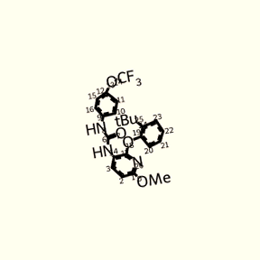 COc1ccc(NC(=O)Nc2ccc(OC(F)(F)F)cc2)c(Oc2ccccc2C(C)(C)C)n1